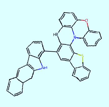 B1c2cccc3c2N(c2ccccc2O3)c2c1c(-c1cccc3c4c([nH]c13)CC1C=CC=CC1=C4)cc1c2sc2ccccc21